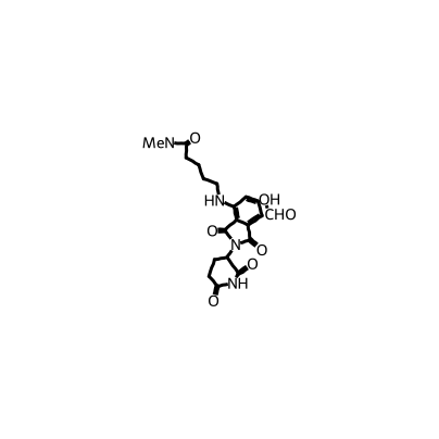 CNC(=O)CCCCNc1cccc2c1C(=O)N(C1CCC(=O)NC1=O)C2=O.O=CO